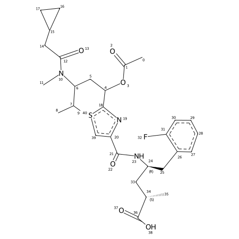 CC(=O)OC(CC(C(C)C)N(C)C(=O)CC1CC1)c1nc(C(=O)N[C@@H](Cc2ccccc2F)C[C@H](C)C(=O)O)cs1